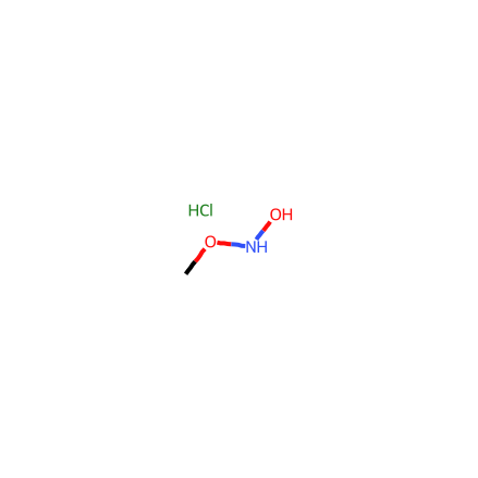 CONO.Cl